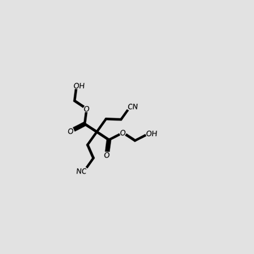 N#CCCC(CCC#N)(C(=O)OCO)C(=O)OCO